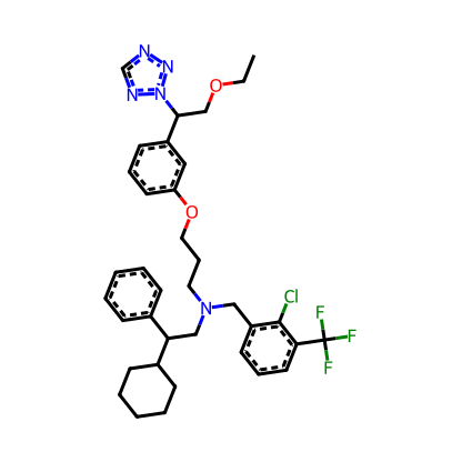 CCOCC(c1cccc(OCCCN(Cc2cccc(C(F)(F)F)c2Cl)CC(c2ccccc2)C2CCCCC2)c1)n1ncnn1